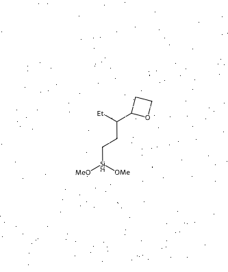 CCC(CC[SiH](OC)OC)C1CCO1